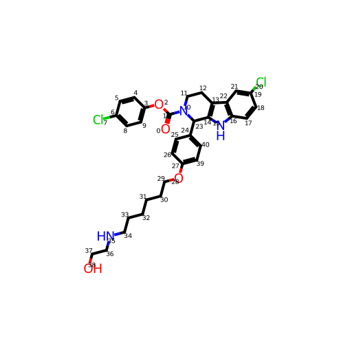 O=C(Oc1ccc(Cl)cc1)N1CCc2c([nH]c3ccc(Cl)cc23)C1c1ccc(OCCCCCCNCCO)cc1